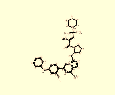 CC(C)(C=C(C#N)C(=O)N1CCC[C@H]1Cc1ncc2c(N)nc(-c3ccc(Oc4ccccc4)cc3F)cn12)N1CCOCC1